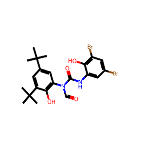 CC(C)(C)c1cc(N(C=O)C(=O)Nc2cc(Br)cc(Br)c2O)c(O)c(C(C)(C)C)c1